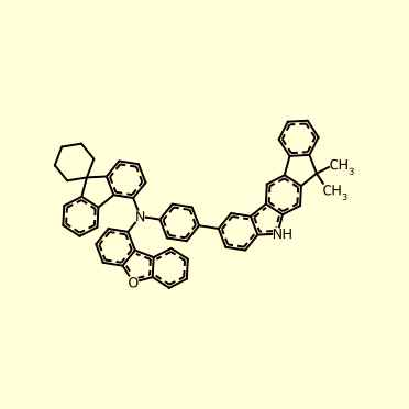 CC1(C)c2ccccc2-c2cc3c(cc21)[nH]c1ccc(-c2ccc(N(c4cccc5c4-c4ccccc4C54CCCCC4)c4cccc5oc6ccccc6c45)cc2)cc13